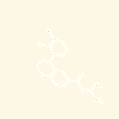 NC(N)=NC(=O)c1ccc2c(c1)C(c1cccc(F)c1Cl)=CCO2